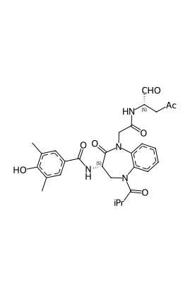 CC(=O)C[C@@H](C=O)NC(=O)CN1C(=O)[C@@H](NC(=O)c2cc(C)c(O)c(C)c2)CN(C(=O)C(C)C)c2ccccc21